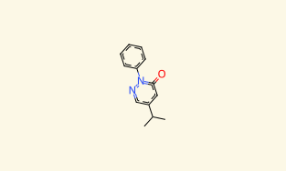 CC(C)c1cnn(-c2ccccc2)c(=O)c1